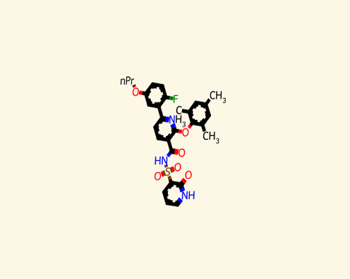 CCCOc1ccc(F)c(-c2ccc(C(=O)NS(=O)(=O)c3ccc[nH]c3=O)c(Oc3c(C)cc(C)cc3C)n2)c1